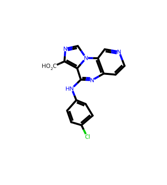 O=C(O)c1ncn2c1c(Nc1ccc(Cl)cc1)nc1ccncc12